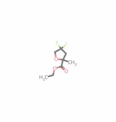 CCOC(=O)C1(C)CC(F)(F)CO1